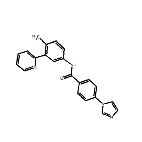 Cc1ccc(NC(=O)c2ccc(-n3ccnc3)cc2)cc1-c1ccccn1